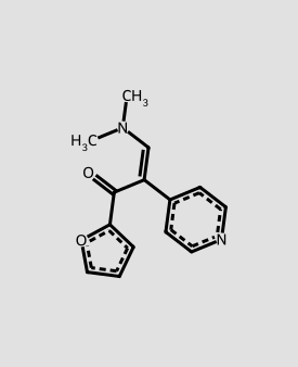 CN(C)C=C(C(=O)c1ccco1)c1ccncc1